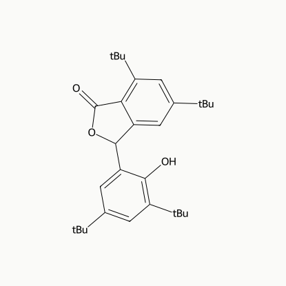 CC(C)(C)c1cc(C2OC(=O)c3c2cc(C(C)(C)C)cc3C(C)(C)C)c(O)c(C(C)(C)C)c1